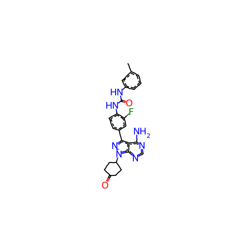 Cc1cccc(NC(=O)Nc2ccc(-c3nn(C4CCC(=O)CC4)c4ncnc(N)c34)cc2F)c1